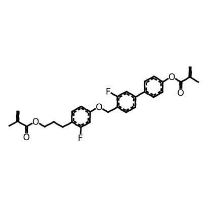 C=C(C)C(=O)OCCCc1ccc(OCc2ccc(-c3ccc(OC(=O)C(=C)C)cc3)cc2F)cc1F